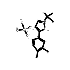 Cc1ccc(-c2cc[n+](C(C)(C)C)o2)cc1C.[O-][Cl+3]([O-])([O-])[O-]